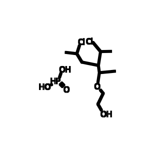 CC(Cl)CC(C(C)Cl)C(C)OCCO.O=[PH](O)O